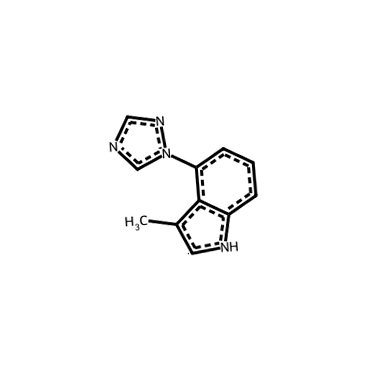 Cc1[c][nH]c2cccc(-n3cncn3)c12